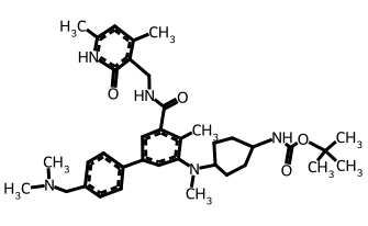 Cc1cc(C)c(CNC(=O)c2cc(-c3ccc(CN(C)C)cc3)cc(N(C)C3CCC(NC(=O)OC(C)(C)C)CC3)c2C)c(=O)[nH]1